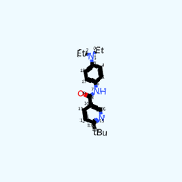 CCN(CC)c1ccc(NC(=O)c2ccc(C(C)(C)C)nc2)cc1